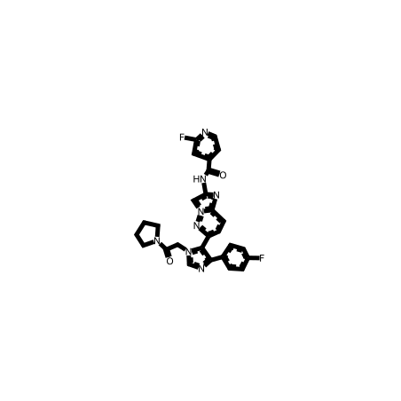 O=C(Nc1cn2nc(-c3c(-c4ccc(F)cc4)ncn3CC(=O)N3CCCC3)ccc2n1)c1ccnc(F)c1